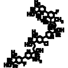 CCC(O)(CC)c1cc(F)c(-c2cnc(C(O)(CC)CCC(O)(CC)c3cc(Cl)c(-c4cnc(C(O)(CC)CCC(C)C(O)(CC)c5cc(F)cc(-c6ccc(N)c(C(O)(CC)CC)n6)c5N)c(N)c4)cc3N)c(N)c2)cc1N